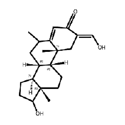 CC1C[C@@H]2[C@@H](CC[C@]3(C)C(O)CC[C@@H]23)[C@@]2(C)CC(=CO)C(=O)C=C12